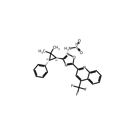 CC1(C)[C@@H](c2ccccc2)[C@@H]1c1noc(-c2cc(C(F)(F)F)c3ccccc3n2)n1.N[SH](=O)=O